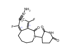 C/C(F)=C1/C(=O)N(C2CCC(=O)NC2=O)CCCC/C1=C(\F)C#[N+]N